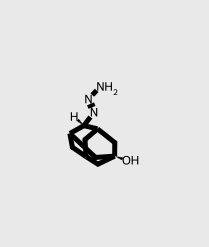 NN=N[C@H]1C2CC3CC1C[C@](O)(C3)C2